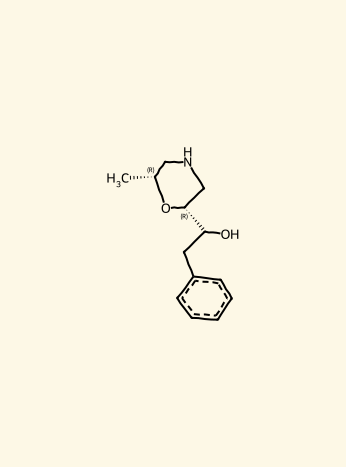 C[C@@H]1CNC[C@H](C(O)Cc2ccccc2)O1